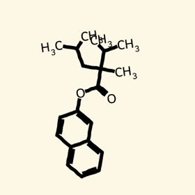 CC(C)CC(C)(C(=O)Oc1ccc2ccccc2c1)C(C)C